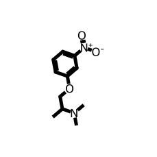 CC(COc1cccc([N+](=O)[O-])c1)N(C)C